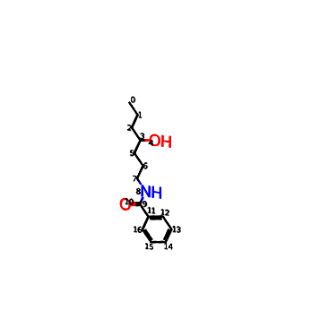 CCCC(O)CCCNC(=O)c1ccccc1